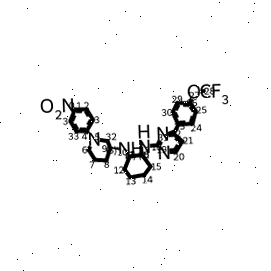 O=[N+]([O-])c1ccc(N2CCC[C@H](N[C@@H]3CCCC[C@H]3Nc3nccc(-c4ccc(OC(F)(F)F)cc4)n3)C2)cc1